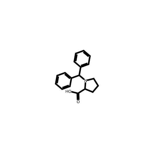 O=C(O)C1CCCN1C(c1ccccc1)c1ccccc1